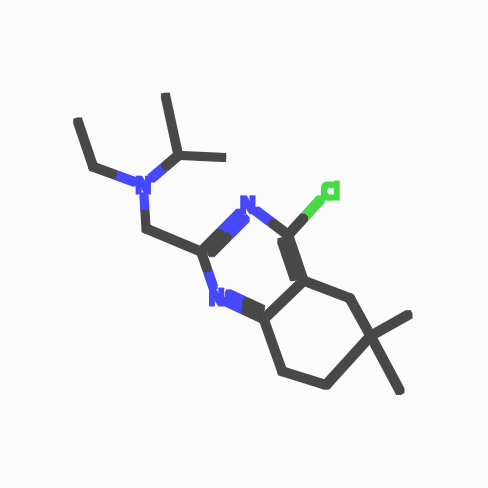 CCN(Cc1nc(Cl)c2c(n1)CCC(C)(C)C2)C(C)C